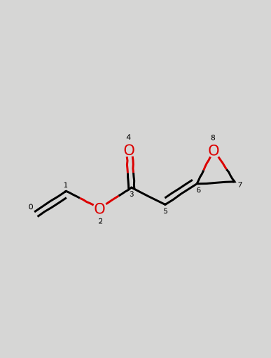 C=COC(=O)C=C1CO1